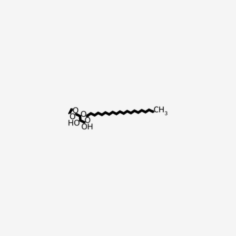 CCCCCCCCCCCCCCCCCCCC(=O)O[C@@H](C1OCCO1)[C@H](O)CO